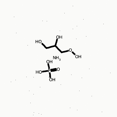 N.O=P(O)(O)O.OCC(O)COO